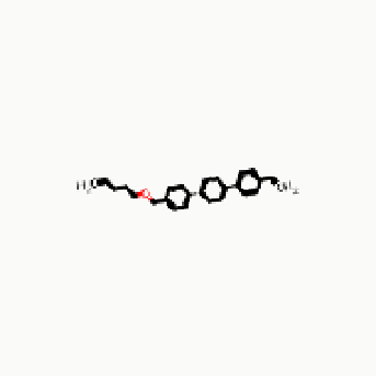 C=CCCCOCc1ccc([C@H]2CC[C@H](c3ccc(C=C)cc3)CC2)cc1